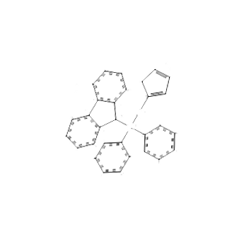 C1=CC[C]([Zr+2][Si](c2ccccc2)(c2ccccc2)C2c3ccccc3-c3ccccc32)=C1.[Cl-].[Cl-]